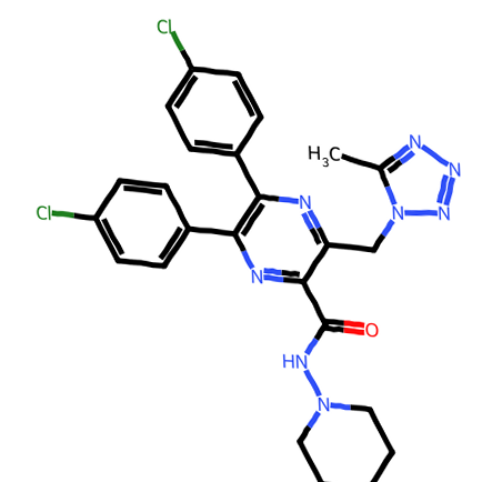 Cc1nnnn1Cc1nc(-c2ccc(Cl)cc2)c(-c2ccc(Cl)cc2)nc1C(=O)NN1CCCCC1